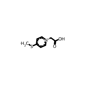 [CH2]Sc1cc[n+](CC(=O)O)cc1